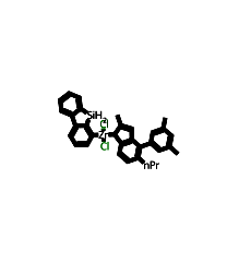 CCCc1ccc2c(c1-c1cc(C)cc(C)c1)C=C(C)[CH]2[Zr]([Cl])([Cl])[c]1cccc2c1[SiH2]c1ccccc1-2